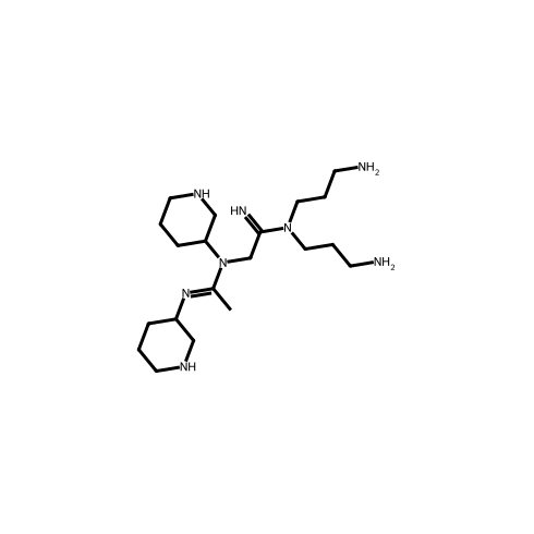 C/C(=N\C1CCCNC1)N(CC(=N)N(CCCN)CCCN)C1CCCNC1